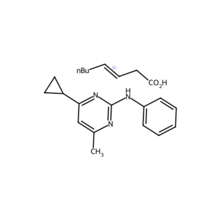 CCCC/C=C/CC(=O)O.Cc1cc(C2CC2)nc(Nc2ccccc2)n1